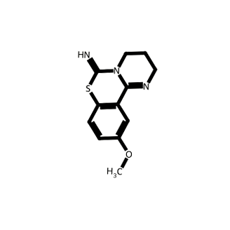 COc1ccc2c(c1)C1=NCCCN1C(=N)S2